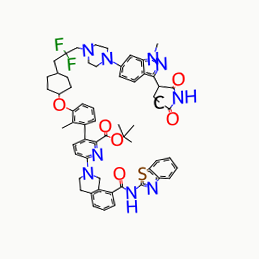 Cc1c(OC2CCC(CC(F)(F)CN3CCN(c4ccc5c(C6CCC(=O)NC6=O)nn(C)c5c4)CC3)CC2)cccc1-c1ccc(N2CCc3cccc(C(=O)Nc4nc5ccccc5s4)c3C2)nc1C(=O)OC(C)(C)C